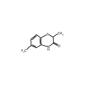 CC1Sc2ccc(C(F)(F)F)cc2NC1=O